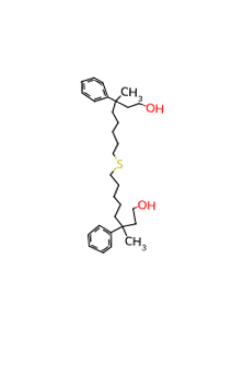 CC(CCO)(CCCCCSCCCCCC(C)(CCO)c1ccccc1)c1ccccc1